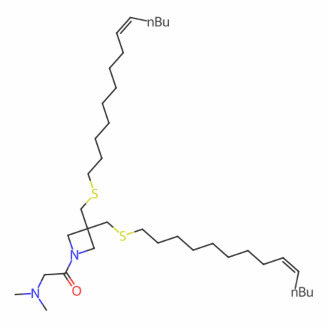 CCCC/C=C\CCCCCCCCSCC1(CSCCCCCCCC/C=C\CCCC)CN(C(=O)CN(C)C)C1